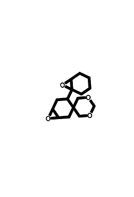 C1CCC2(C3CC4OC4CC34COCOC4)OC2C1